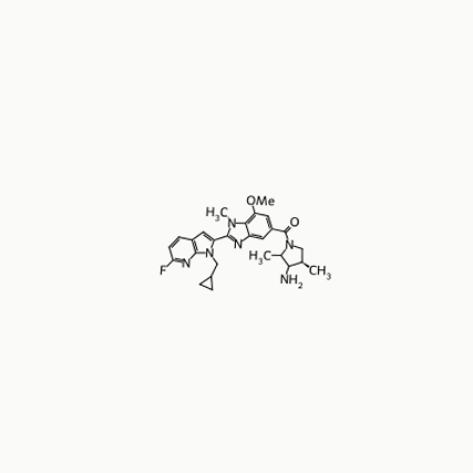 COc1cc(C(=O)N2C[C@@H](C)C(N)C2C)cc2nc(-c3cc4ccc(F)nc4n3CC3CC3)n(C)c12